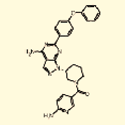 Nc1ccc(C(=O)N2CCC[C@@H](n3ncc4c(N)nc(-c5ccc(Oc6ccccc6)cc5)nc43)C2)cn1